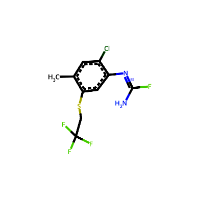 Cc1cc(Cl)c(/N=C(\N)F)cc1SCC(F)(F)F